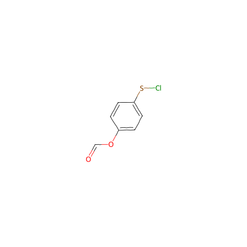 O=COc1ccc(SCl)cc1